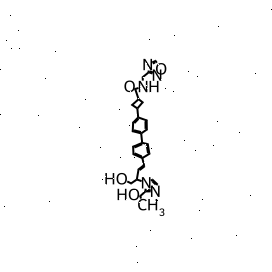 CC(O)c1nccn1C(/C=C/c1ccc(-c2ccc(C3CC(C(=O)NCc4ncon4)C3)cc2)cc1)CO